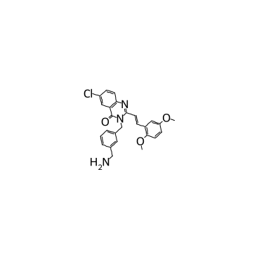 COc1ccc(OC)c(C=Cc2nc3ccc(Cl)cc3c(=O)n2Cc2cccc(CN)c2)c1